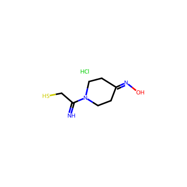 Cl.N=C(CS)N1CCC(=NO)CC1